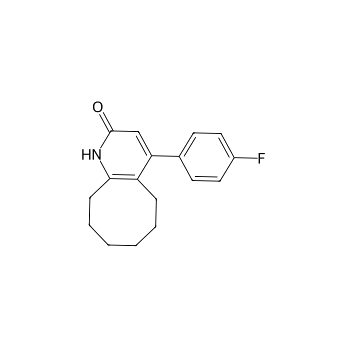 O=c1cc(-c2ccc(F)cc2)c2c([nH]1)CCCCCC2